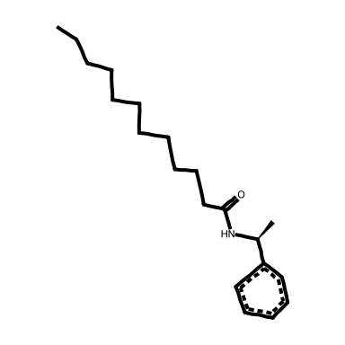 CCCCCCCCCCCC(=O)N[C@@H](C)c1ccccc1